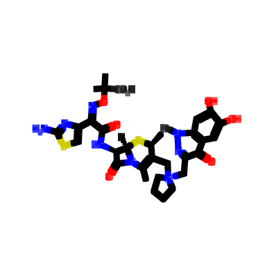 CCn1nc(C[N+]2(CC3=C(C)N4C(=O)[C@@H](NC(=O)/C(=N\OC(C)(C)C(=O)O)c5csc(N)n5)[C@H]4S[C@H]3C)CCCC2)c(=O)c2cc(O)c(O)cc21